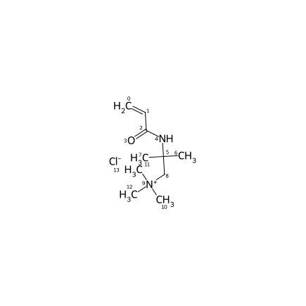 C=CC(=O)NC(C)(C)C[N+](C)(C)C.[Cl-]